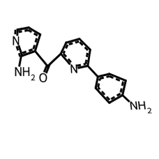 Nc1ccc(-c2cccc(C(=O)c3cccnc3N)n2)cc1